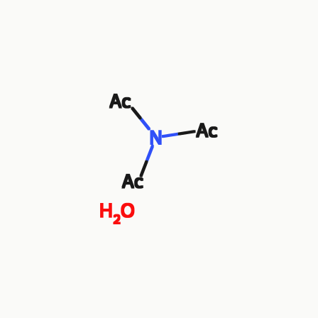 CC(=O)N(C(C)=O)C(C)=O.O